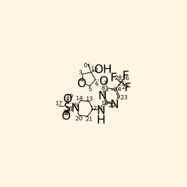 C[C@]1(O)COC[C@H]1Oc1nc(NC2CCN(S(C)(=O)=O)CC2)ncc1C(F)(F)F